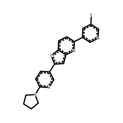 Fc1cncc(-c2ccc3sc(-c4ccc(N5CCCC5)nc4)cc3n2)c1